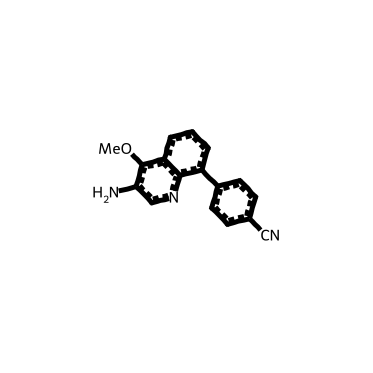 COc1c(N)cnc2c(-c3ccc(C#N)cc3)cccc12